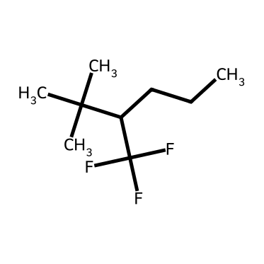 CCCC(C(C)(C)C)C(F)(F)F